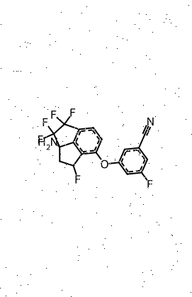 N#Cc1cc(F)cc(Oc2ccc3c4c2C(F)CC4(N)C(F)(F)C3(F)F)c1